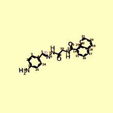 Nc1ccc(/C=N/NC(=O)CNC(=O)c2cccc3ccccc23)cc1